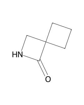 O=C1NCC12CCC2